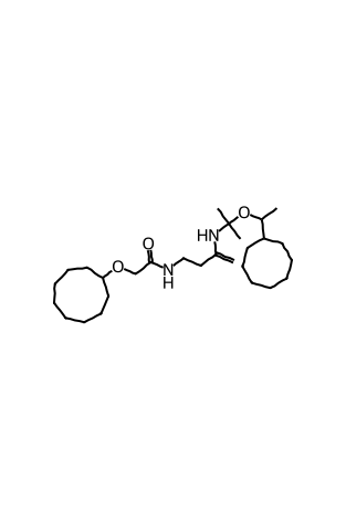 C=C(CCNC(=O)COC1CCCCCCCC1)NC(C)(C)OC(C)C1CCCCCCC1